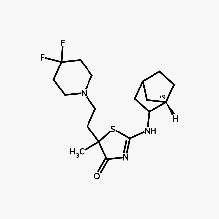 CC1(CCN2CCC(F)(F)CC2)SC(NC2CC3CC[C@H]2C3)=NC1=O